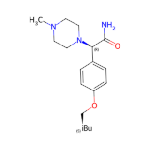 CC[C@H](C)COc1ccc([C@H](C(N)=O)N2CCN(C)CC2)cc1